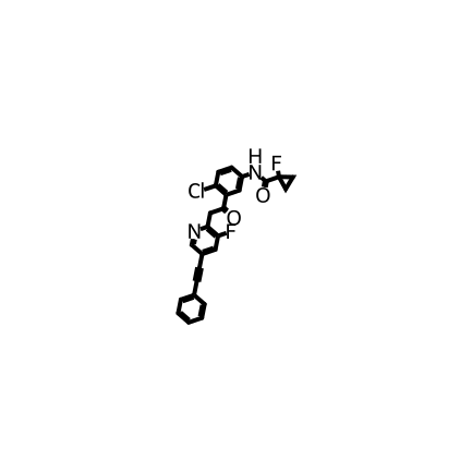 O=C(Cc1ncc(C#Cc2ccccc2)cc1F)c1cc(NC(=O)C2(F)CC2)ccc1Cl